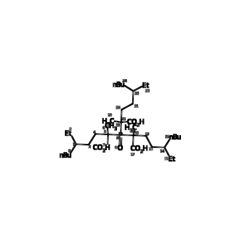 CCCCC(CC)CCC(C)(C(=O)O)P(=O)(C(C)(CCC(CC)CCCC)C(=O)O)C(C)(CCC(CC)CCCC)C(=O)O